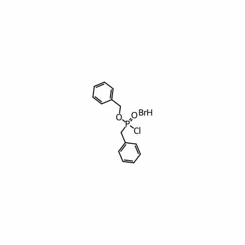 Br.O=P(Cl)(Cc1ccccc1)OCc1ccccc1